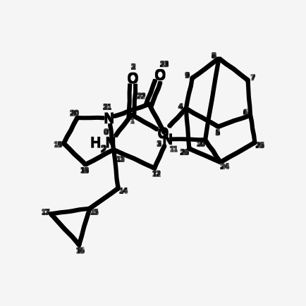 NC(=O)OC12CC3CC(C1)C(N1CC4(CC5CC5)CCCN4C1=O)C(C3)C2